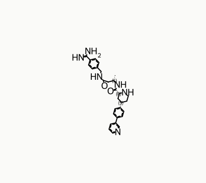 C[C@H](NC(=O)[C@H]1C[C@@H](c2ccc(-c3cccnc3)cc2)CCN1)C1OC1NCc1ccc(C(=N)N)cc1